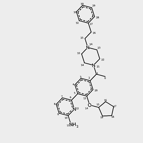 CC(c1ccc(-c2cccc(N)n2)c(OC2CCCC2)c1)N1CCN(CCc2ccccc2)CC1